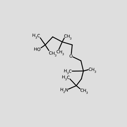 CC(C)(N)CC(C)(C)COCC(C)(C)CC(C)(C)O